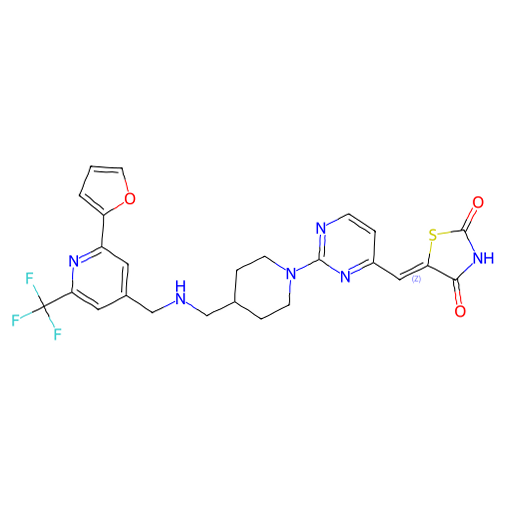 O=C1NC(=O)/C(=C/c2ccnc(N3CCC(CNCc4cc(-c5ccco5)nc(C(F)(F)F)c4)CC3)n2)S1